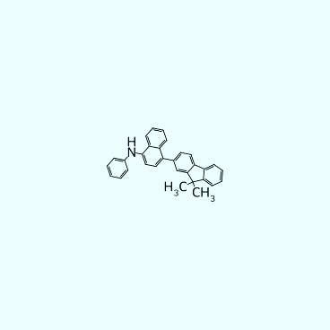 CC1(C)c2ccccc2-c2ccc(-c3ccc(Nc4ccccc4)c4ccccc34)cc21